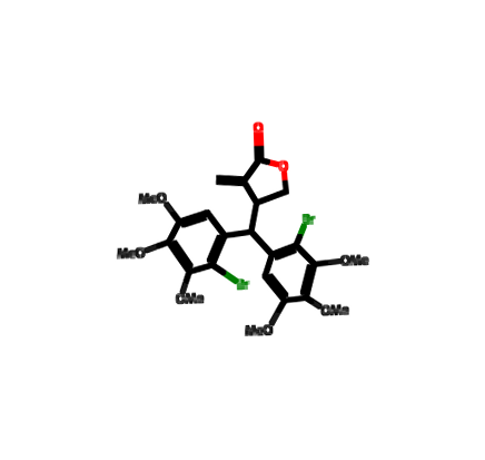 C=C1C(=O)OCC1C(c1cc(OC)c(OC)c(OC)c1Br)c1cc(OC)c(OC)c(OC)c1Br